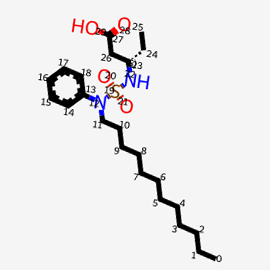 CCCCCCCCCCCCN(c1ccccc1)S(=O)(=O)N[C@@H](CC)CC(=O)O